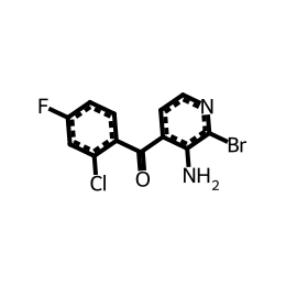 Nc1c(C(=O)c2ccc(F)cc2Cl)ccnc1Br